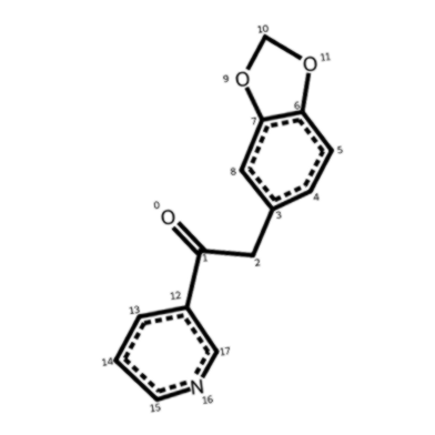 O=C(Cc1ccc2c(c1)OCO2)c1cccnc1